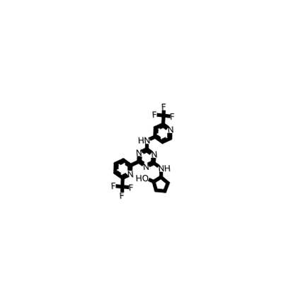 OC1CCCC1Nc1nc(Nc2ccnc(C(F)(F)F)c2)nc(-c2cccc(C(F)(F)F)n2)n1